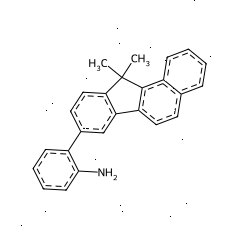 CC1(C)c2ccc(-c3ccccc3N)cc2-c2ccc3ccccc3c21